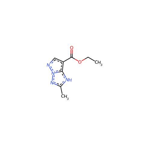 CCOC(=O)c1cnn2nc(C)[nH]c12